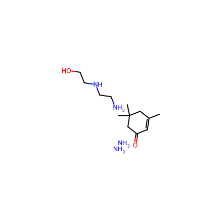 CC1=CC(=O)CC(C)(C)C1.N.N.NCCNCCO